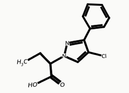 CCC(C(=O)O)n1cc(Cl)c(-c2ccccc2)n1